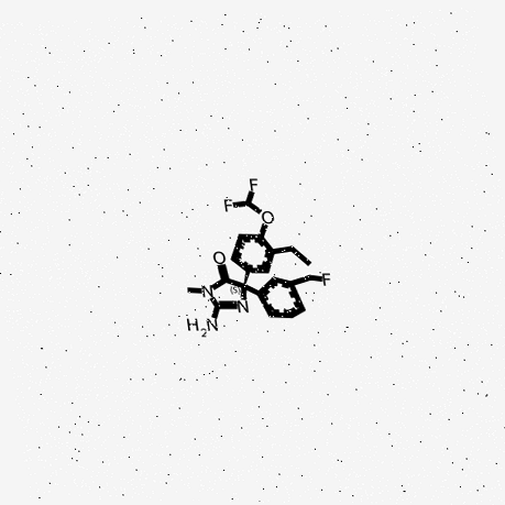 CCc1cc([C@@]2(c3cccc(CF)c3)N=C(N)N(C)C2=O)ccc1OC(F)F